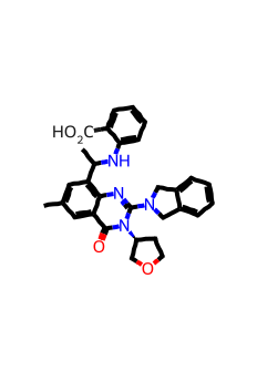 Cc1cc(C(C)Nc2ccccc2C(=O)O)c2nc(N3Cc4ccccc4C3)n([C@H]3CCOC3)c(=O)c2c1